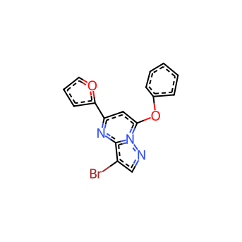 Brc1cnn2c(Oc3ccccc3)cc(-c3ccco3)nc12